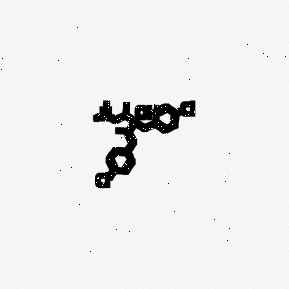 CC(=Cc1ccc(Cl)cc1)C(O)(Cc1ccc(Cl)cc1)C(C)CN(C)C